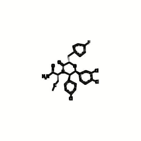 CCCC(C(N)=O)N1C(=O)[C@H](Cc2ccc(F)cc2)O[C@@H](c2ccc(Cl)c(Cl)c2)[C@H]1c1ccc(Cl)cc1